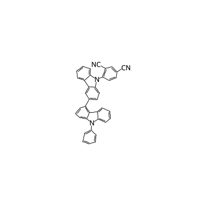 N#Cc1ccc(-n2c3ccccc3c3cc(-c4cccc5c4c4ccccc4n5-c4ccccc4)ccc32)c(C#N)c1